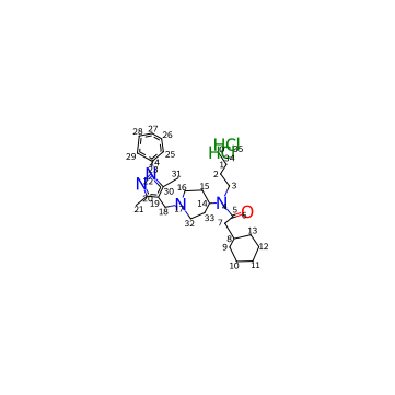 CCCCN(C(=O)CC1CCCCC1)C1CCN(Cc2c(C)nn(-c3ccccc3)c2C)CC1.Cl.Cl